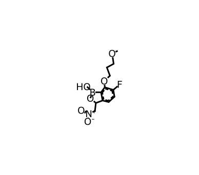 COCCCOc1c(F)ccc2c1B(O)OC2C[N+](=O)[O-]